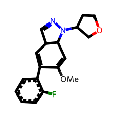 COC1=CC2C(C=NN2C2CCOC2)C=C1c1ccccc1F